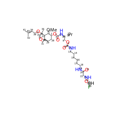 COC1C(OC(=O)N[C@@H](COC(=O)NCCCCCCNC(=O)CNOBF)C(C)C)CC[C@]2(CO2)C1C(C)(C)OCC=C(C)C